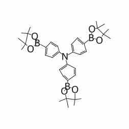 CC1(C)OB(c2ccc(N(c3ccc(B4OC(C)(C)C(C)(C)O4)cc3)c3ccc(B4OC(C)(C)C(C)(C)O4)cc3)cc2)OC1(C)C